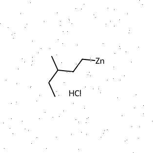 CCC(C)C[CH2][Zn].Cl